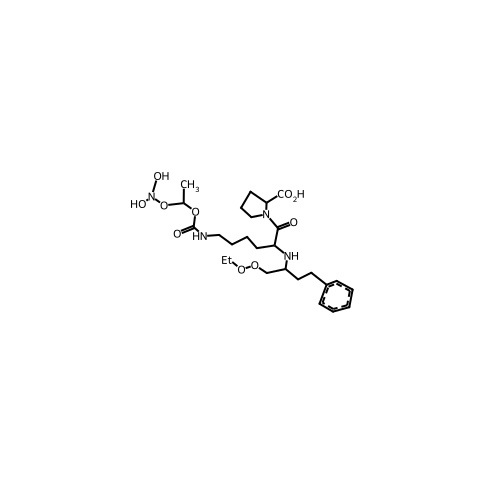 CCOOCC(CCc1ccccc1)NC(CCCCNC(=O)OC(C)ON(O)O)C(=O)N1CCCC1C(=O)O